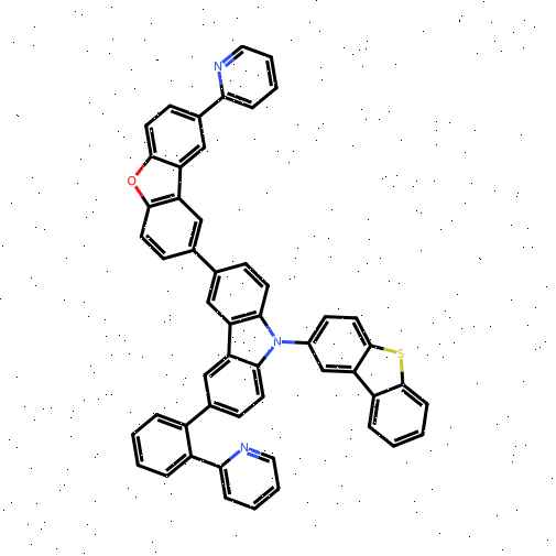 c1ccc(-c2ccc3oc4ccc(-c5ccc6c(c5)c5cc(-c7ccccc7-c7ccccn7)ccc5n6-c5ccc6sc7ccccc7c6c5)cc4c3c2)nc1